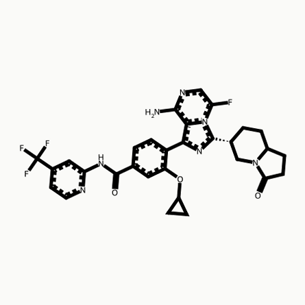 Nc1ncc(F)n2c([C@@H]3CCC4CCC(=O)N4C3)nc(-c3ccc(C(=O)Nc4cc(C(F)(F)F)ccn4)cc3OC3CC3)c12